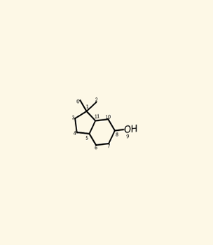 CC1(C)CCC2CCC(O)CC21